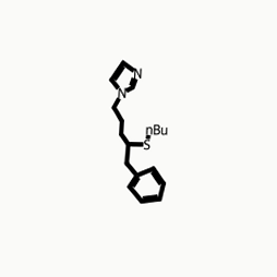 CCCCSC(CCCn1ccnc1)Cc1ccccc1